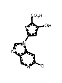 O=C(O)c1sc(-n2cnc3cnc(Cl)cc32)cc1O